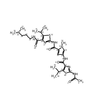 CC(=O)Nc1nc(C(=O)Nc2cc(C(=O)Nc3nc(C(=O)NCCCN(C)C)c(C(C)C)s3)n(C)c2)c(C(C)C)s1